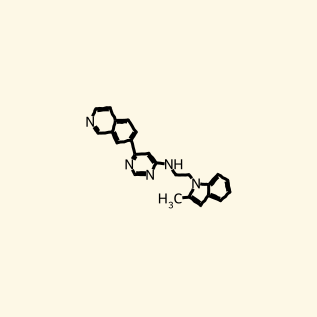 Cc1cc2ccccc2n1CCNc1cc(-c2ccc3ccncc3c2)ncn1